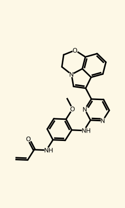 C=CC(=O)Nc1ccc(OC)c(Nc2nccc(-c3cn4c5c(cccc35)OCC4)n2)c1